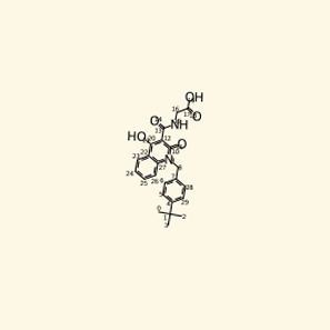 CC(C)(C)c1ccc(Cn2c(=O)c(C(=O)NCC(=O)O)c(O)c3ccccc32)cc1